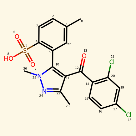 Cc1ccc(S(=O)(=O)O)c(-c2c(C(=O)c3ccc(Cl)cc3Cl)c(C)nn2C)c1